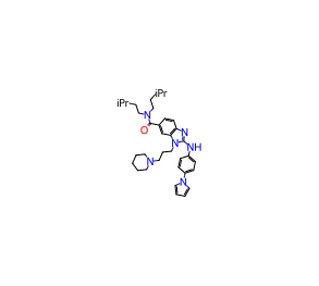 CC(C)CCN(CCC(C)C)C(=O)c1ccc2nc(Nc3ccc(-n4cccc4)cc3)n(CCCN3CCCCC3)c2c1